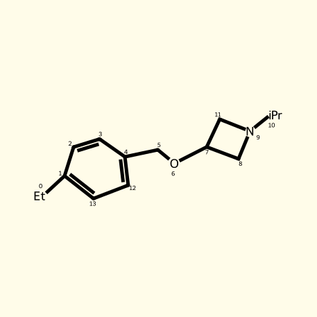 CCc1ccc(COC2CN(C(C)C)C2)cc1